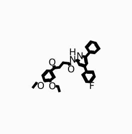 CCOc1ccc(C(=O)CCC(=O)Nc2cc(-c3ccc(F)cc3)cc(-c3ccccc3)n2)cc1OCC